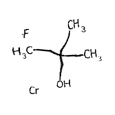 CC(C)(C)O.[Cr].[F]